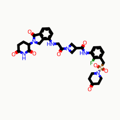 O=C1CCN(S(=O)(=O)Cc2cccc(NC(=O)C3CN(C(=O)CNc4cccc5c4CN(C4CCC(=O)NC4=O)C5=O)C3)c2F)CC1